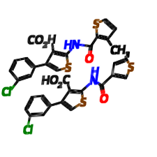 Cc1ccsc1C(=O)Nc1scc(-c2cccc(Cl)c2)c1C(=O)O.O=C(Nc1scc(-c2cccc(Cl)c2)c1C(=O)O)c1ccsc1